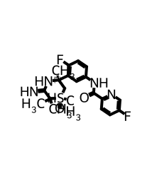 CC1(C)C(=N)N[C@](C)(c2cc(NC(=O)c3ccc(F)cn3)ccc2F)C[SH]1(C)=O